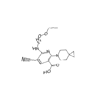 CCOO[SH4]Nc1nc(N2CCC3(CC2)CC3)c(C(=O)O)cc1C#N